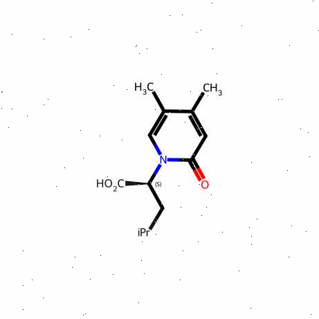 Cc1cc(=O)n([C@@H](CC(C)C)C(=O)O)cc1C